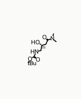 CN(C)C(=O)C[C@H](O)CNC(=O)OC(C)(C)C